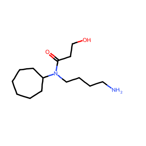 NCCCCN(C(=O)CCO)C1CCCCCC1